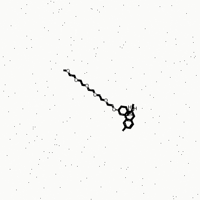 COCCOCCOCCOCCOCCO[C@H]1CC[C@H]2[C@H]3Cc4ccc(C)cc4[C@@]2(CCN3C)C1